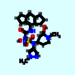 CN1CCC(N(c2cnn(C)c2)S(=O)(=O)[NH+]([O-])C(=O)Nc2c3c(cc4c2CCC4)CCC3)CC1=O